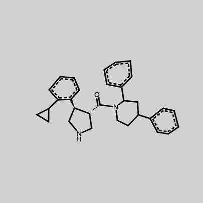 O=C([C@@H]1CNC[C@H]1c1ccccc1C1CC1)N1CCC(c2ccccc2)CC1c1ccccc1